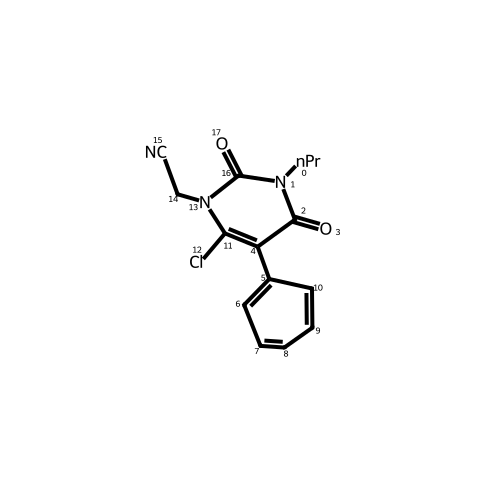 CCCn1c(=O)c(-c2ccccc2)c(Cl)n(CC#N)c1=O